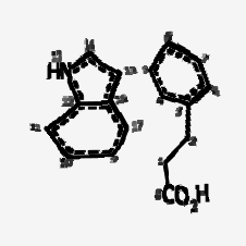 O=C(O)CCc1ccccc1.c1ccc2[nH]ccc2c1